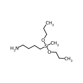 CCCO[Si](C)(CCCCN)OCCC